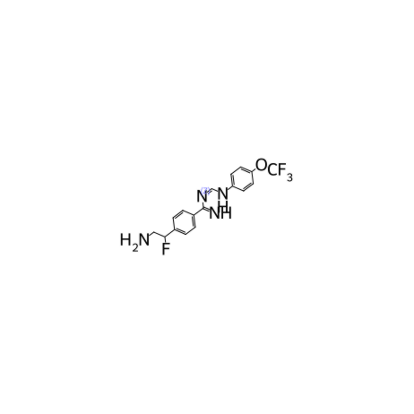 N=C(/N=C\Nc1ccc(OC(F)(F)F)cc1)c1ccc(C(F)CN)cc1